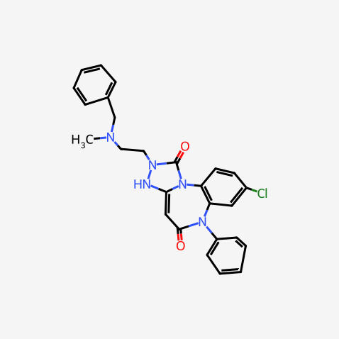 CN(CCN1NC2=CC(=O)N(c3ccccc3)c3cc(Cl)ccc3N2C1=O)Cc1ccccc1